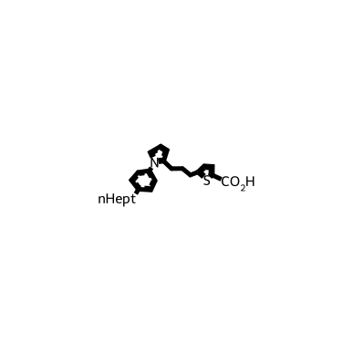 CCCCCCCc1ccc(-n2cccc2CCCc2ccc(C(=O)O)s2)cc1